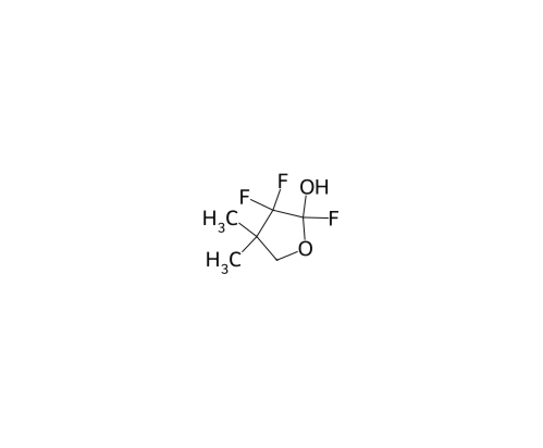 CC1(C)COC(O)(F)C1(F)F